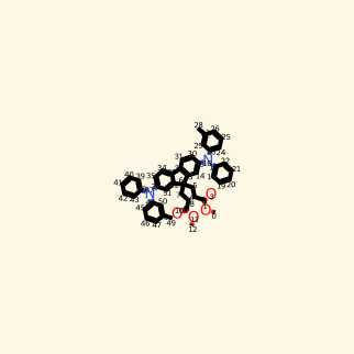 COC(=O)CCC1(CCC(=O)OC)c2cc(N(c3ccccc3)c3cccc(C)c3)ccc2-c2ccc(N(c3ccccc3)c3cccc(C)c3)cc21